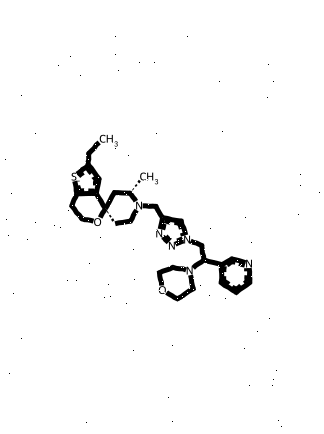 CCc1cc2c(s1)CCO[C@@]21CCN(Cc2cn(CC(c3cccnc3)N3CCOCC3)nn2)[C@@H](C)C1